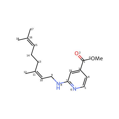 COC(=O)c1ccnc(NCC=C(C)CCC=C(C)C)c1